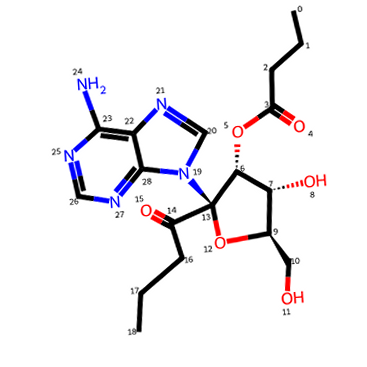 CCCC(=O)O[C@@H]1[C@H](O)[C@@H](CO)O[C@@]1(C(=O)CCC)n1cnc2c(N)ncnc21